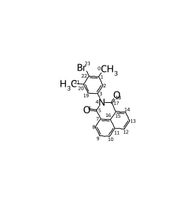 Cc1cc(N2C(=O)c3cccc4cccc(c34)C2=O)cc(C)c1Br